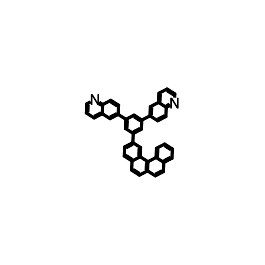 c1cnc2ccc(-c3cc(-c4ccc5ncccc5c4)cc(-c4ccc5ccc6ccc7ccccc7c6c5c4)c3)cc2c1